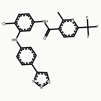 Cc1nc(C(F)(F)F)ccc1C(=O)Nc1ccc(Cl)c(Nc2ccc(-c3csnn3)cc2)c1